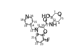 O=C(NC1CCOCC1O)C1=CN(Cc2ccncc2)c2cccc(F)c2O1